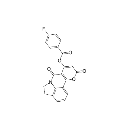 O=C(Oc1cc(=O)oc2c1c(=O)n1c3c(cccc23)CC1)c1ccc(F)cc1